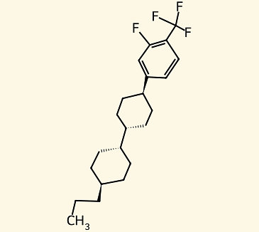 CCC[C@H]1CC[C@H]([C@H]2CC[C@H](c3ccc(C(F)(F)F)c(F)c3)CC2)CC1